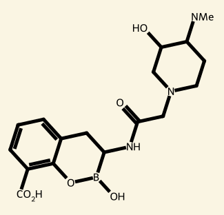 CNC1CCN(CC(=O)NC2Cc3cccc(C(=O)O)c3OB2O)CC1O